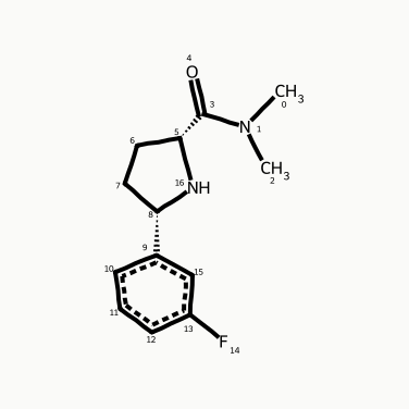 CN(C)C(=O)[C@H]1CC[C@@H](c2cccc(F)c2)N1